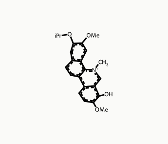 COc1cc2c(ccc3c4ccc(OC)c(O)c4c[n+](C)c23)cc1OC(C)C